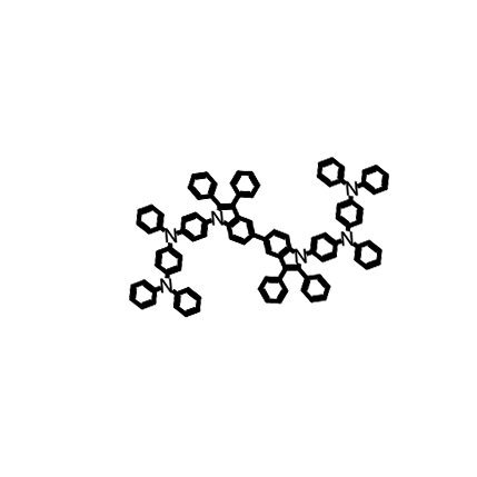 c1ccc(-c2c(-c3ccccc3)n(-c3ccc(N(c4ccccc4)c4ccc(N(c5ccccc5)c5ccccc5)cc4)cc3)c3ccc(-c4ccc5c(c4)c(-c4ccccc4)c(-c4ccccc4)n5-c4ccc(N(c5ccccc5)c5ccc(N(c6ccccc6)c6ccccc6)cc5)cc4)cc23)cc1